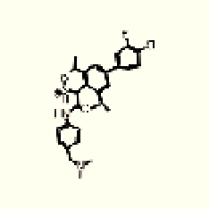 CC(C)c1cc(-c2ccc(Cl)c(F)c2)cc(C(C)C)c1C(C(=O)Nc1ccc(CN(C)C)cc1)[SH](=O)=O